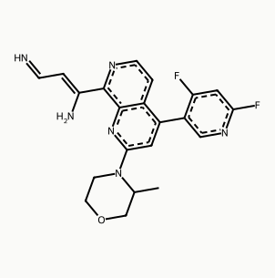 CC1COCCN1c1cc(-c2cnc(F)cc2F)c2ccnc(/C(N)=C/C=N)c2n1